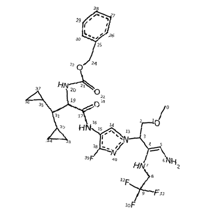 COCC(/C(=C/N)NCC(F)(F)F)n1cc(NC(=O)C(NC(=O)OCc2ccccc2)C(C2CC2)C2CC2)c(F)n1